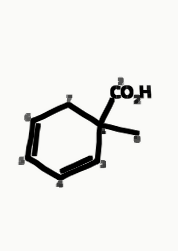 CC1(C(=O)O)C=CC=CC1